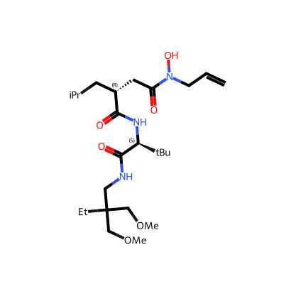 C=CCN(O)C(=O)C[C@@H](CC(C)C)C(=O)N[C@H](C(=O)NCC(CC)(COC)COC)C(C)(C)C